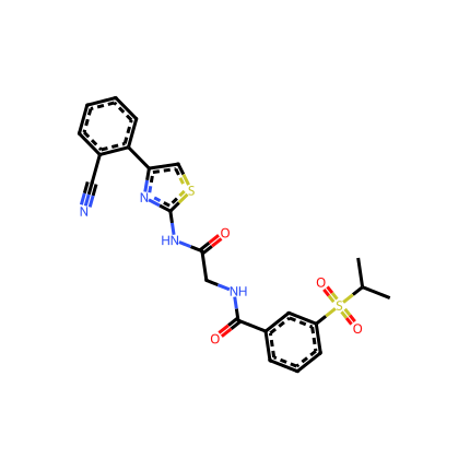 CC(C)S(=O)(=O)c1cccc(C(=O)NCC(=O)Nc2nc(-c3ccccc3C#N)cs2)c1